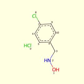 Cl.ONCc1ccc(Cl)cc1